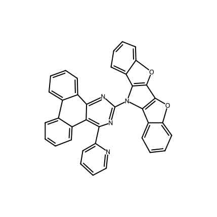 c1ccc(-c2nc(-n3c4c5ccccc5oc4c4oc5ccccc5c43)nc3c4ccccc4c4ccccc4c23)nc1